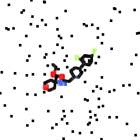 CCOC(=O)C1(NCCC2CCC(c3ccc(F)cc3F)CC2)CCOCC1